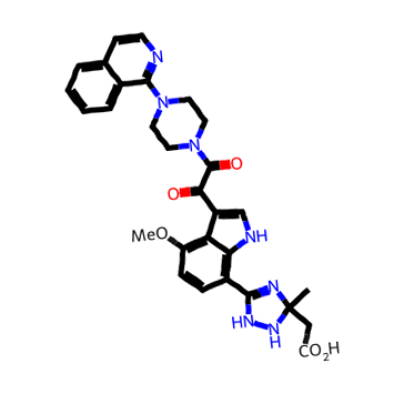 COc1ccc(C2=NC(C)(CC(=O)O)NN2)c2[nH]cc(C(=O)C(=O)N3CCN(c4nccc5ccccc45)CC3)c12